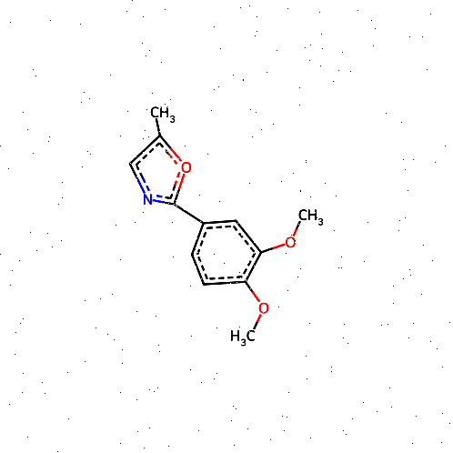 COc1ccc(-c2ncc(C)o2)cc1OC